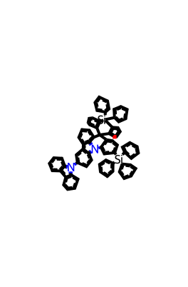 c1ccc([Si](c2ccccc2)(c2ccccc2)c2ccc3c(c2)-n2c4ccc(-n5c6ccccc6c6ccccc65)cc4c4cccc(c42)C32c3ccccc3[Si](c3ccccc3)(c3ccccc3)c3ccccc32)cc1